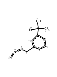 CCC(O)(c1cccc(CN=[N+]=[N-])n1)C(F)(F)F